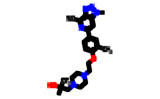 Cn1nnc2c(C#N)nc(-c3ccc(OCCN4CCN(CC(C)(O)C(F)(F)F)CC4)c(C(F)(F)F)c3)cc21